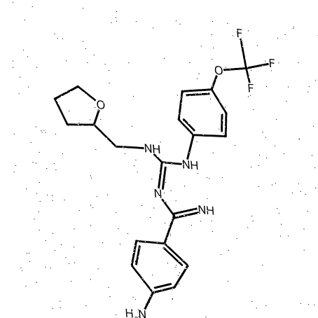 N=C(/N=C(/NCC1CCCO1)Nc1ccc(OC(F)(F)F)cc1)c1ccc(N)cc1